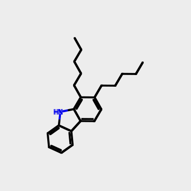 CCCCCc1ccc2c([nH]c3ccccc32)c1CCCCC